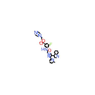 Cc1cccc(-c2nn(CC(=O)Nc3cc(F)cc(C(=O)OCCN4CCN(C)CC4)c3)cc2-c2ccnc3ccccc23)n1